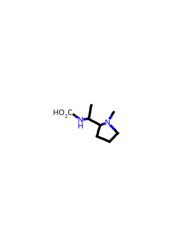 CC(NC(=O)O)C1CCCN1C